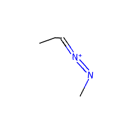 CC=[N+]=NC